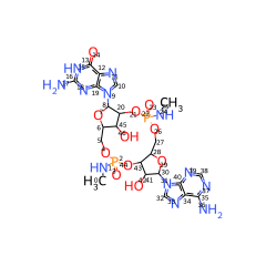 CNP1(=O)OCC2OC(n3cnc4c(=O)[nH]c(N)nc43)C(OP(=O)(NC)OCC3OC(n4cnc5c(N)ncnc54)C(O)C3O1)C2O